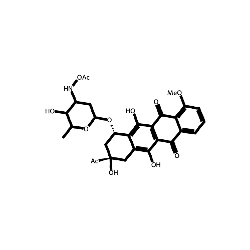 COc1cccc2c1C(=O)c1c(O)c3c(c(O)c1C2=O)C[C@@](O)(C(C)=O)C[C@@H]3OC1CC(NOC(C)=O)C(O)C(C)O1